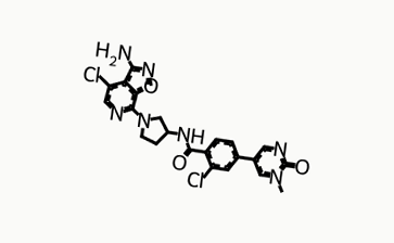 Cn1cc(-c2ccc(C(=O)NC3CCN(c4ncc(Cl)c5c(N)noc45)C3)c(Cl)c2)cnc1=O